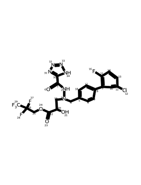 O=C(NN(Cc1ccc(-c2cc(Cl)ccc2F)cc1)CC(O)C(=O)OCC(F)(F)C(F)(F)F)c1nnn[nH]1